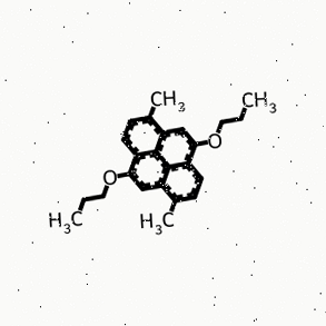 CCCOc1cc2c(C)ccc3c(OCCC)cc4c(C)ccc1c4c23